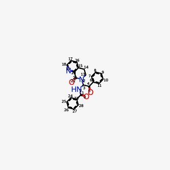 O=C(NC(C(=O)c1ccccc1)N1CCc2cccnc2C1=O)c1ccccc1